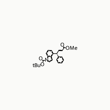 COC(=O)C=C[C@@H](c1ccccc1)c1cccc2c1ccn2C(=O)OC(C)(C)C